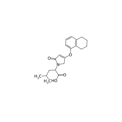 CC(C)CC(C(=O)O)N1CC(Oc2cccc3c2CCCC3)=CC1=O